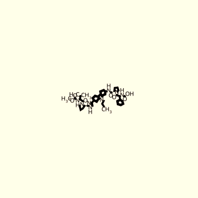 CCCCn1c2cc(NC(=O)[C@@H]3CCCN3C(=O)C(NC(=O)O)c3ccccc3)ccc2c2ccc(-c3c[nH]c([C@@H]4CCCN4C(=O)C(NC(=O)OC)C(C)C)n3)cc21